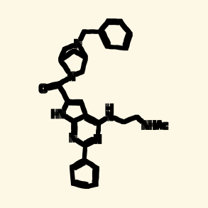 CC(=O)NCCNc1nc(-c2ccccc2)nc2[nH]c(C(=O)N3CC4CC3CN4Cc3ccccc3)cc12